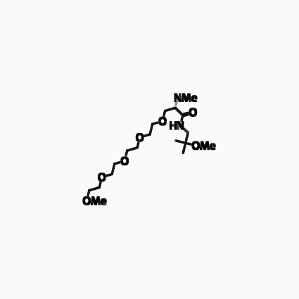 CN[C@@H](COCCOCCOCCOCCOC)C(=O)NCC(C)(C)OC